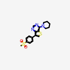 CS(=O)(=O)c1ccc(-c2csc3c(N4CCCCC4)ncnc23)cc1